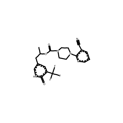 CC(Cc1c[nH]c(=O)c(C(F)(F)F)c1)OC(=O)N1CCN(c2ncccc2C#N)CC1